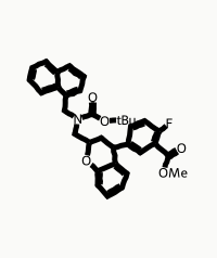 COC(=O)c1cc(C2CC(CN(Cc3cccc4ccccc34)C(=O)OC(C)(C)C)Oc3ccccc32)ccc1F